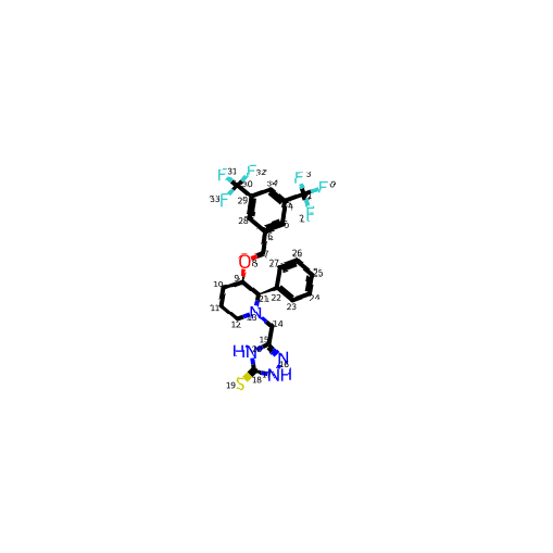 FC(F)(F)c1cc(CO[C@@H]2CCCN(Cc3n[nH]c(=S)[nH]3)[C@@H]2c2ccccc2)cc(C(F)(F)F)c1